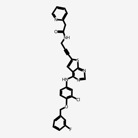 O=C(Cc1ccccn1)NCC#Cc1cc2c(Nc3ccc(OCc4cccc(F)c4)c(Cl)c3)ncnc2s1